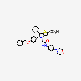 O=C(Cn1c(-c2ccc(OCc3ccccc3)cc2)c(C2CCCCC2)c2sc(C(=O)O)cc21)Nc1ccc(N2CCOCC2)cc1